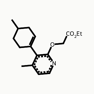 CCOC(=O)COc1nccc(C)c1C1=CCC(C)CC1